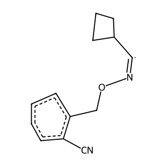 N#Cc1ccccc1CO/N=[C]\C1CCC1